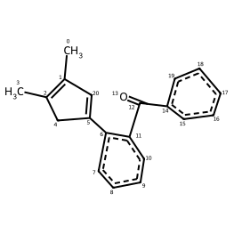 CC1=C(C)CC(c2ccccc2C(=O)c2ccccc2)=C1